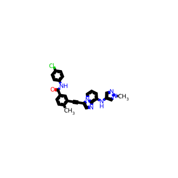 Cc1ccc(C(=O)Nc2ccc(Cl)cc2)cc1C#Cc1cnc2c(Nc3cnn(C)c3)cccn12